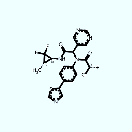 C[C@H]1[C@H](NC(=O)C(c2cncnc2)N(C(=O)[C@H](F)Cl)c2ccc(-c3cncs3)cc2)C1(F)F